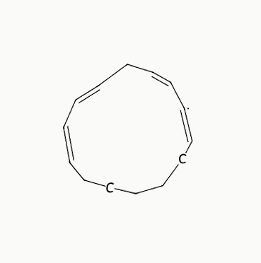 [C]1=CCCCCCC=CC=CCC=C1